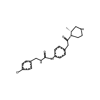 C[C@@H]1CNCCN1C(=O)Cc1ccc(NC(=O)NCc2ccc(Cl)cc2)cc1